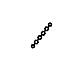 C1CCC(C2CCC(C3CCC(C4CCC(C5CCC(C6CCCC6)CC5)CC4)CC3)CC2)C1